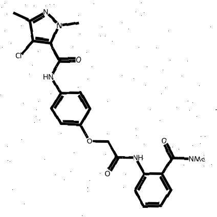 CNC(=O)c1ccccc1NC(=O)COc1ccc(NC(=O)c2c(Cl)c(C)nn2C)cc1